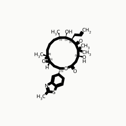 C=CC[C@H]1C(=O)C(C)(C)[C@@H](O)CC(=O)O[C@H](C2C=c3nc(C)sc3=CC2)C[C@@H]2O[C@]2(C)CCC[C@H](C)[C@@H]1O